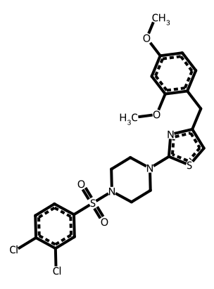 COc1ccc(Cc2csc(N3CCN(S(=O)(=O)c4ccc(Cl)c(Cl)c4)CC3)n2)c(OC)c1